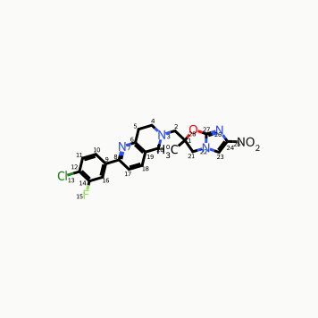 CC1(CN2CCc3nc(-c4ccc(Cl)c(F)c4)ccc3C2)Cn2cc([N+](=O)[O-])nc2O1